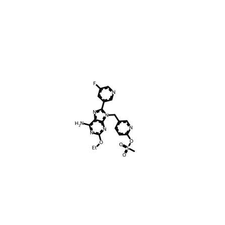 CCOc1nc(N)c2nc(-c3cncc(F)c3)n(Cc3ccc(OS(C)(=O)=O)nc3)c2n1